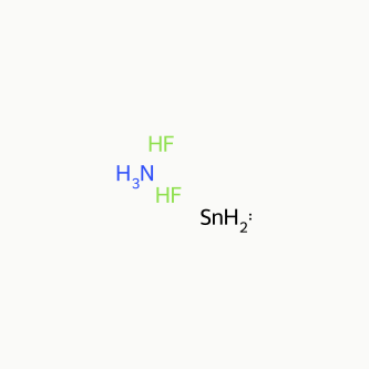 F.F.N.[SnH2]